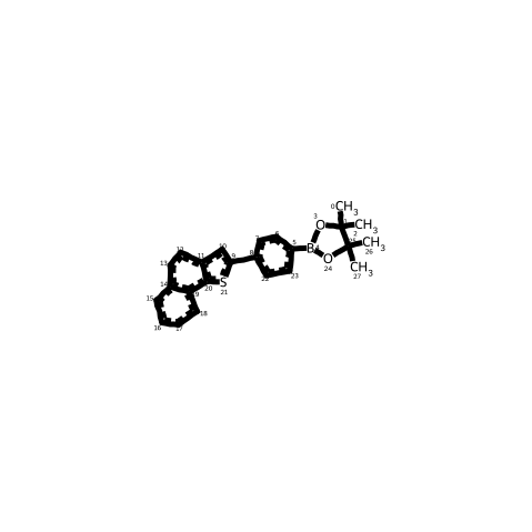 CC1(C)OB(c2ccc(-c3cc4ccc5ccccc5c4s3)cc2)OC1(C)C